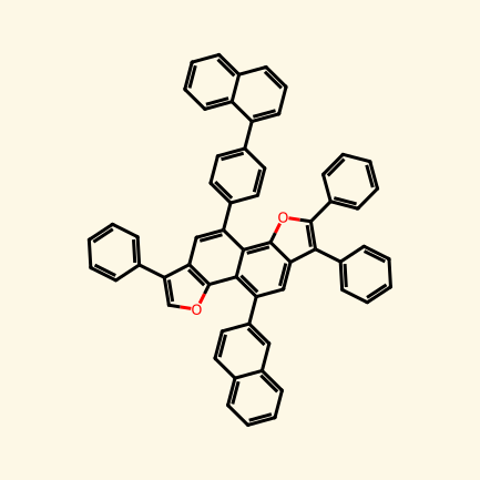 c1ccc(-c2oc3c(cc(-c4ccc5ccccc5c4)c4c5occ(-c6ccccc6)c5cc(-c5ccc(-c6cccc7ccccc67)cc5)c34)c2-c2ccccc2)cc1